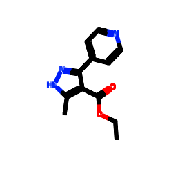 CCOC(=O)c1c(-c2ccncc2)n[nH]c1C